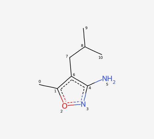 Cc1onc(N)c1CC(C)C